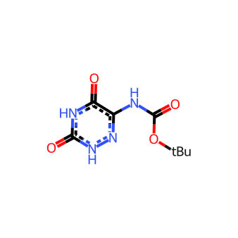 CC(C)(C)OC(=O)Nc1n[nH]c(=O)[nH]c1=O